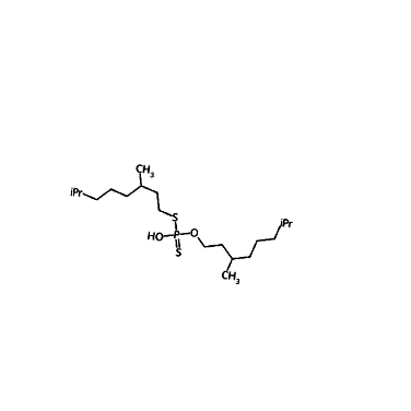 CC(C)CCCC(C)CCOP(O)(=S)SCCC(C)CCCC(C)C